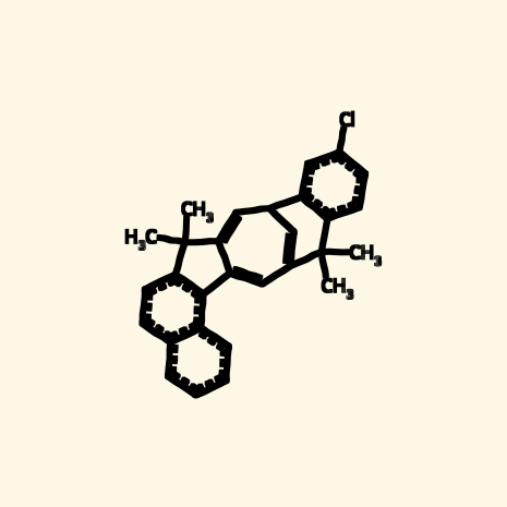 CC1(C)C2=CC(C=C3C(=C2)c2c(ccc4ccccc24)C3(C)C)c2cc(Cl)ccc21